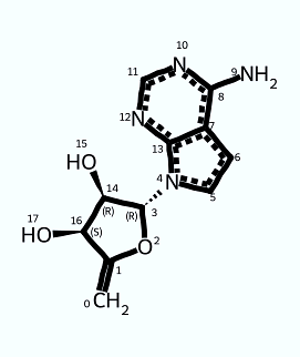 C=C1O[C@@H](n2ccc3c(N)ncnc32)[C@H](O)[C@@H]1O